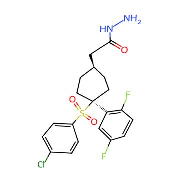 NNC(=O)C[C@H]1CC[C@@](c2cc(F)ccc2F)(S(=O)(=O)c2ccc(Cl)cc2)CC1